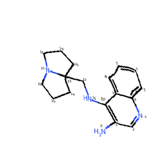 Nc1cnc2ccccc2c1NCC12CCCN1CCC2